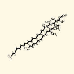 CCCCCCCCCCCCCCCCOC(=O)C([C@H](O)[C@@H](O)[C@H](O)[C@H](O)CO)N(C)C(C)CCCCCCCCCC